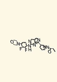 C=CC(=O)Nc1cccc(-c2ncc3cnc(Nc4ccc(N5CCOCC5)c(F)c4F)nn23)c1